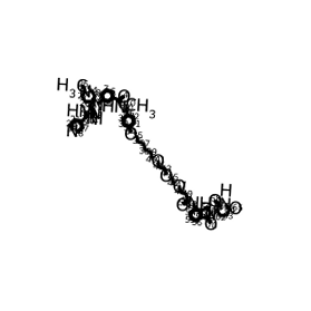 C[C@@H](NC(=O)c1cccc(NC2(c3nnc(-c4ccncc4)[nH]3)CCN(C)CC2)c1)c1ccc(OCCCCCCOCCOCCOCCC(=O)Nc2cccc3c2CN(C2CCC(=O)NC2=O)C3=O)cc1